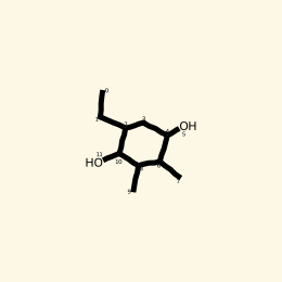 CCC1CC(O)C(C)C(C)C1O